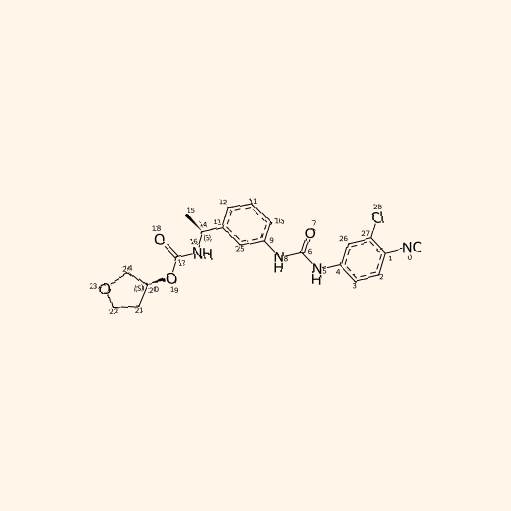 [C-]#[N+]c1ccc(NC(=O)Nc2cccc([C@H](C)NC(=O)O[C@H]3CCOC3)c2)cc1Cl